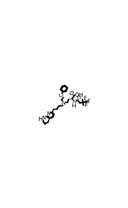 CC(C)(CC(=O)N[C@@H](CCN(CCCCc1ccc2c(n1)NCCC2)CCOc1ccccc1)C(=O)O)C(F)(F)F